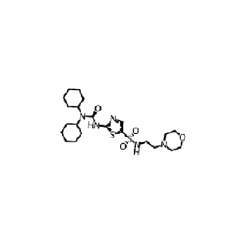 O=C(Nc1ncc(S(=O)(=O)NCCN2CCOCC2)s1)N(C1CCCCC1)C1CCCCC1